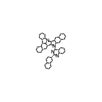 c1ccc2cc(-c3nc(-n4c5cc6ccccc6cc5c5c4c4cc6ccccc6c6c7ccccc7n5c46)c4ccccc4n3)ccc2c1